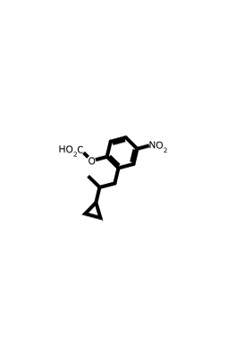 CC(Cc1cc([N+](=O)[O-])ccc1OC(=O)O)C1CC1